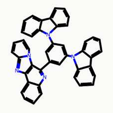 c1ccc2c(c1)nc(-c1cc(-n3c4ccccc4c4ccccc43)cc(-n3c4ccccc4c4ccccc43)c1)c1c2nc2ccccn21